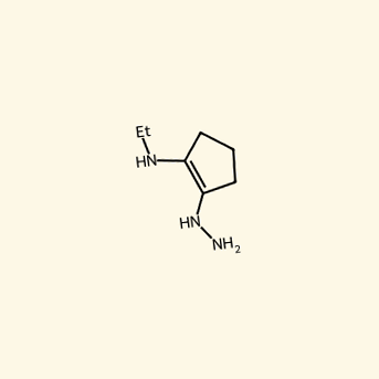 CCNC1=C(NN)CCC1